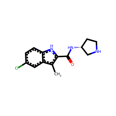 Cc1c(C(=O)N[C@@H]2CCNC2)[nH]c2ccc(Cl)cc12